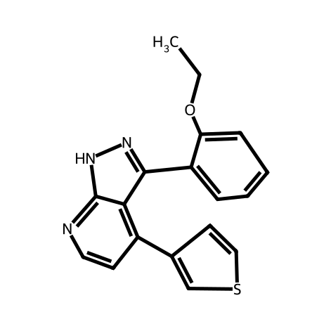 CCOc1ccccc1-c1n[nH]c2nccc(-c3ccsc3)c12